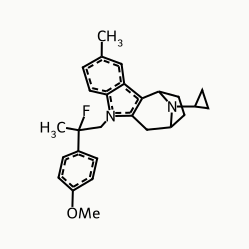 COc1ccc(C(C)(F)Cn2c3c(c4cc(C)ccc42)C2CCC(C3)N2C2CC2)cc1